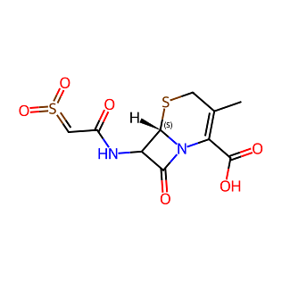 CC1=C(C(=O)O)N2C(=O)C(NC(=O)C=S(=O)=O)[C@@H]2SC1